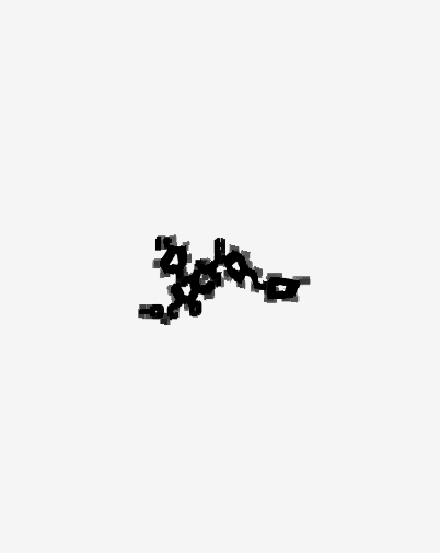 CCc1ccc(-n2cc(C(=O)O)c(=O)c3cnc(Nc4ccc(CCN5CCCC5)cc4)nc32)cc1